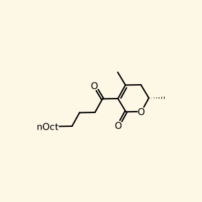 CCCCCCCCCCCC(=O)C1=C(C)C[C@H](C)OC1=O